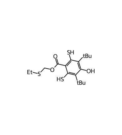 CCSCOC(=O)c1c(S)c(C(C)(C)C)c(O)c(C(C)(C)C)c1S